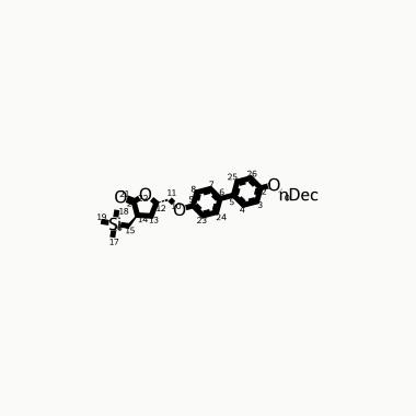 CCCCCCCCCCOc1ccc(-c2ccc(OC[C@@H]3C[C@@H](C[Si](C)(C)C)C(=O)O3)cc2)cc1